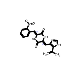 C=C(C)c1[nH]cnc1/C=c1\[nH]c(=O)/c(=C/c2ccccc2[N+](=O)[O-])[nH]c1=O